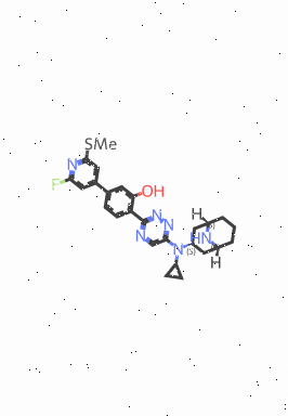 CSc1cc(-c2ccc(-c3ncc(N(C4CC4)[C@@H]4C[C@H]5CCC[C@@H](C4)N5)nn3)c(O)c2)cc(F)n1